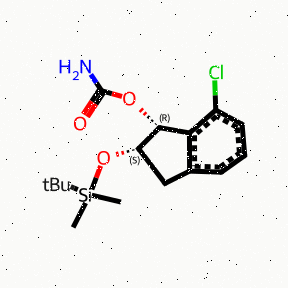 CC(C)(C)[Si](C)(C)O[C@H]1Cc2cccc(Cl)c2[C@H]1OC(N)=O